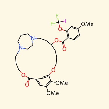 COc1ccc(C(=O)OC2CCCOc3cc(cc(OC)c3OC)C(=O)OCCCN3CCCN(CC2)CC3)c(OC(F)(F)I)c1